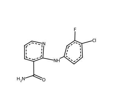 NC(=O)c1cccnc1Nc1ccc(Cl)c(F)c1